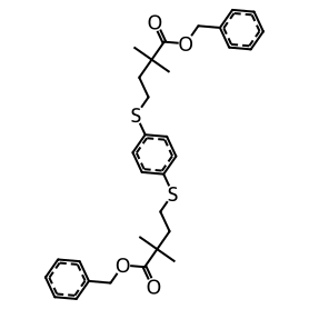 CC(C)(CCSc1ccc(SCCC(C)(C)C(=O)OCc2ccccc2)cc1)C(=O)OCc1ccccc1